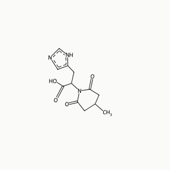 CC1CC(=O)N(C(Cc2cnc[nH]2)C(=O)O)C(=O)C1